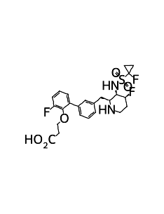 O=C(O)CCOc1c(F)cccc1-c1cccc(C[C@@H]2NCC[C@H](F)[C@@H]2NS(=O)(=O)C2(F)CC2)c1